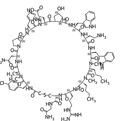 CCCC[C@H]1C(=O)N(C)[C@@H](CCCC)C(=O)N[C@@H](CCCNC(=N)N)C(=O)N[C@H](C(=O)NCC(N)=O)CSCC(=O)N[C@@H](Cc2ccc(Cl)cc2)C(=O)N(C)[C@@H](C)C(=O)N[C@@H](CC(N)=O)C(=O)N2CCC[C@H]2C(=O)N[C@@H](Cc2cnc[nH]2)C(=O)N[C@@H](CCC(=O)O)C(=O)C2C[C@H](O)C[C@H]2C(=O)N[C@@H](Cc2c[nH]c3ccccc23)C(=O)N[C@@H](CCN)C(=O)N[C@@H](Cc2c[nH]c3ccccc23)C(=O)N1C